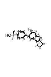 CC(C)(O)c1ncc(-c2cn3c4c(nc3cc2F)CCC4)cn1